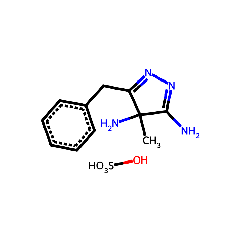 CC1(N)C(N)=NN=C1Cc1ccccc1.O=S(=O)(O)O